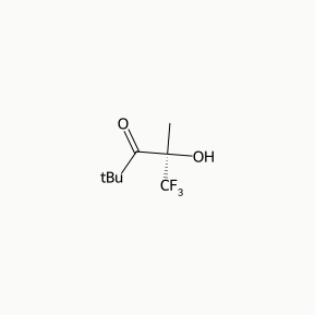 CC(C)(C)C(=O)[C@@](C)(O)C(F)(F)F